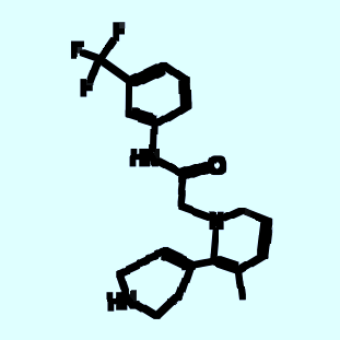 CC1=C(C2=CCNCC2)N(CC(=O)Nc2cccc(C(F)(F)F)c2)CC=C1